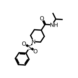 CC(C)NC(=O)C1CCN(S(=O)(=O)c2ccccc2)CC1